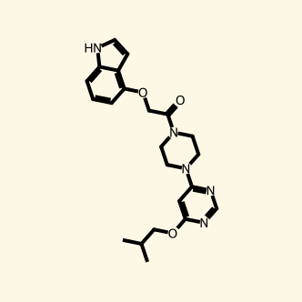 CC(C)COc1cc(N2CCN(C(=O)COc3cccc4[nH]ccc34)CC2)ncn1